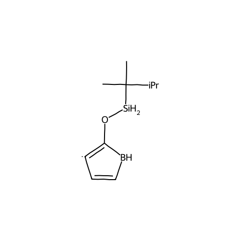 CC(C)C(C)(C)[SiH2]OC1=[C]C=CB1